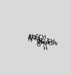 CC(C)c1nn(CC(=O)NC2CC(C)(O)C2)c(=O)cc1-c1cccc(C(F)(F)F)c1